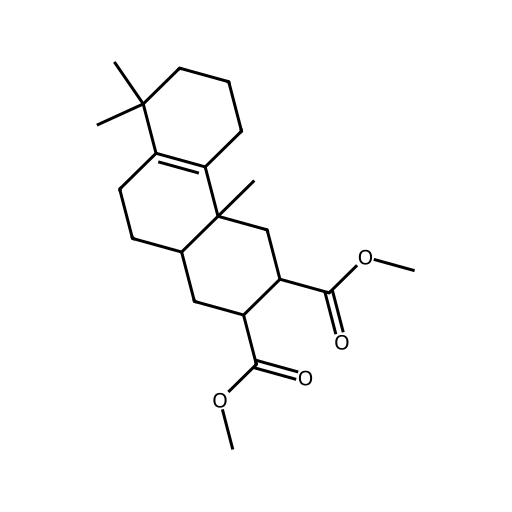 COC(=O)C1CC2CCC3=C(CCCC3(C)C)C2(C)CC1C(=O)OC